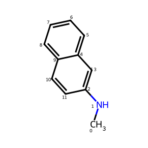 CNc1[c]c2ccccc2cc1